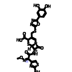 CO/N=C(\C(=O)N[C@@H]1C(=O)N2C=C(CSc3nnc(-c4ccc(O)c(O)c4)o3)C(C(=O)O)S[C@H]12)c1csc(N)n1